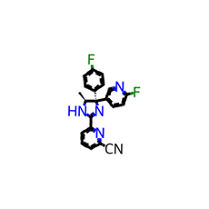 C[C@@H]1NC(c2cccc(C#N)n2)=N[C@]1(c1ccc(F)cc1)c1ccc(F)nc1